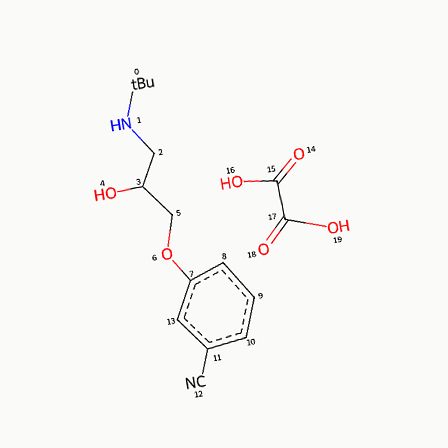 CC(C)(C)NCC(O)COc1cccc(C#N)c1.O=C(O)C(=O)O